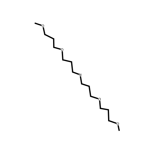 COCCCOCCC[N]CCCOCCCOC